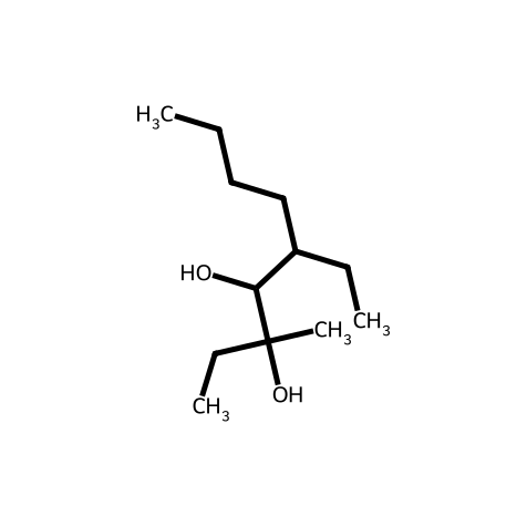 CCCCC(CC)C(O)C(C)(O)CC